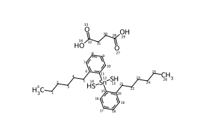 CCCCCCc1cccc[c]1[Sn]([SH])([SH])[c]1ccccc1CCCCCC.O=C(O)CCC(=O)O